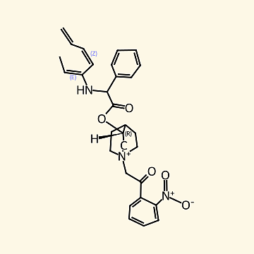 C=C/C=C\C(=C/C)NC(C(=O)O[C@H]1C[N+]2(CC(=O)c3ccccc3[N+](=O)[O-])CCC1CC2)c1ccccc1